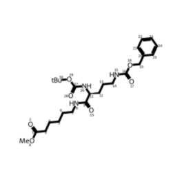 COC(=O)CCCCCNC(=O)[C@H](CCCNC(=O)OCc1ccccc1)NC(=O)OC(C)(C)C